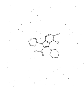 O=C(O)c1c(N2CCCCC2)c2c(Cl)c(Cl)ccc2n1-c1ccccc1